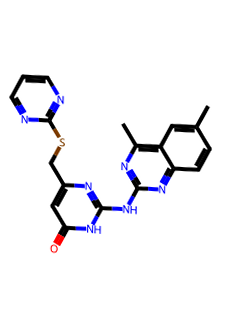 Cc1ccc2nc(Nc3nc(CSc4ncccn4)cc(=O)[nH]3)nc(C)c2c1